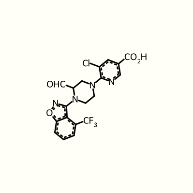 O=CC1CN(c2ncc(C(=O)O)cc2Cl)CCN1c1noc2cccc(C(F)(F)F)c12